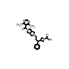 Cc1ncnc(C)c1C(=O)N1C=C2CN(CCC(c3ccccc3)C3CN(C(=O)C(C)C)C3)CC2C1